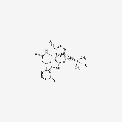 COc1ccc(C#C[Si](C)(C)C)cc1[C@H]1NC(=O)C[C@@H](c2cccc(Cl)c2)[C@]12C(=O)Nc1cc(Cl)ccc12